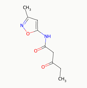 CCC(=O)CC(=O)Nc1cc(C)no1